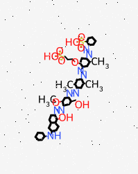 COc1cc(N=Nc2cc(C)c(N=Nc3cc(C)c(N=Nc4ccccc4S(=O)(=O)O)cc3OCCCS(=O)(=O)O)cc2C)c(CO)cc1N=Nc1ccc2cc(Nc3ccccc3)ccc2c1O